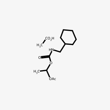 CC(=O)O.CC(=O)OC(C)OC(=O)NCC1CCCCC1